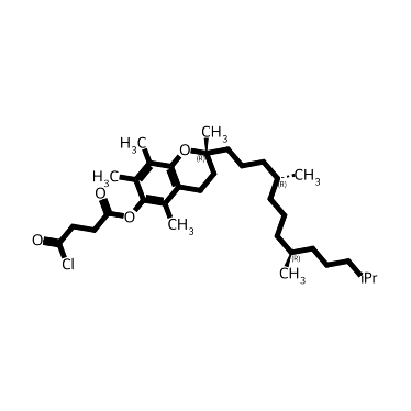 Cc1c(C)c2c(c(C)c1OC(=O)CCC(=O)Cl)CC[C@@](C)(CCC[C@H](C)CCC[C@H](C)CCCC(C)C)O2